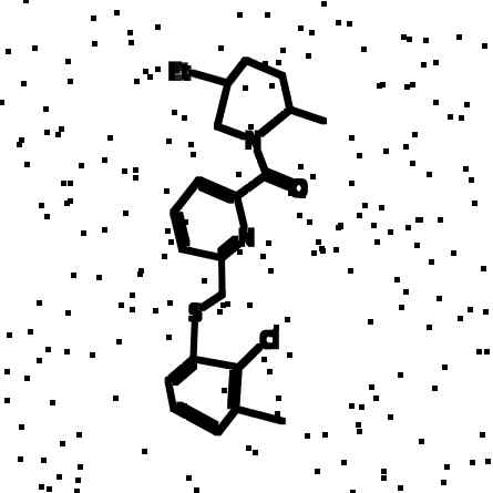 CCC1CCC(C)N(C(=O)c2cccc(CSc3cccc(C)c3Cl)n2)C1